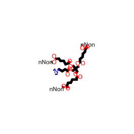 CCCCCCCCCOC(=O)CCCCC(=O)OCC(COC(=O)CCCCC(=O)OCCCCCCCCC)(COC(=O)CCCCC(=O)OCCCCCCCCC)COC(=O)CCCN(C)C